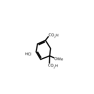 COC1(C(=O)O)C=CC=C(C(=O)O)C1.Cl